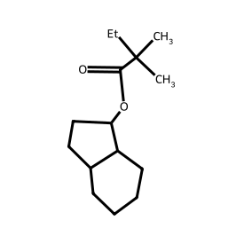 CCC(C)(C)C(=O)OC1CCC2CCCCC21